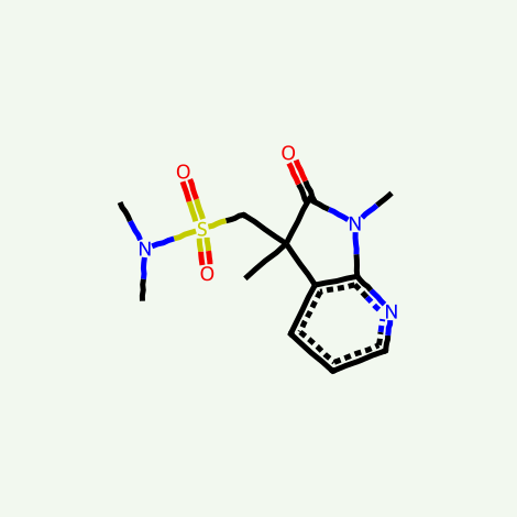 CN1C(=O)C(C)(CS(=O)(=O)N(C)C)c2cccnc21